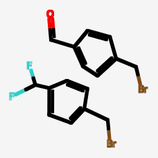 FC(F)c1ccc(CBr)cc1.O=Cc1ccc(CBr)cc1